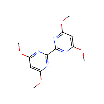 COc1cc(OC)nc(-c2nc(OC)cc(OC)n2)n1